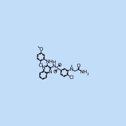 COc1ccc(Cl)c(Nc2nc3ccccc3nc2NS(=O)(=O)c2ccc(Cl)c(N(C)CC(N)=O)c2)c1